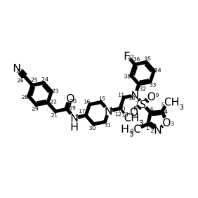 Cc1noc(C)c1S(=O)(=O)N(C[C@@H](C)N1CCC(NC(=O)Cc2ccc(C#N)cc2)CC1)c1cccc(F)c1